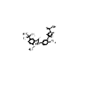 COc1ccc(C(C)(C)C)cc1C(=O)Nc1ccc(C)c(-c2cc(C(=O)O)[nH]n2)c1